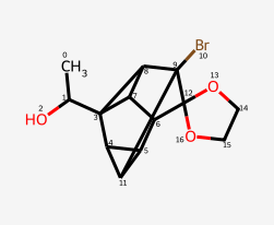 CC(O)C12C3C4C5C1C2C(Br)(C43)C51OCCO1